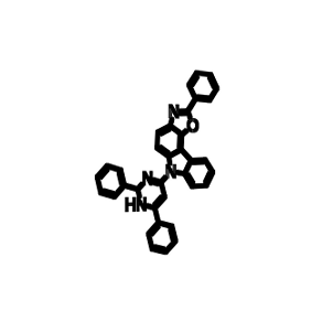 C1=C(c2ccccc2)NC(c2ccccc2)N=C1n1c2ccccc2c2c3oc(-c4ccccc4)nc3ccc21